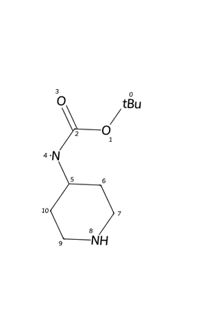 CC(C)(C)OC(=O)[N]C1CCNCC1